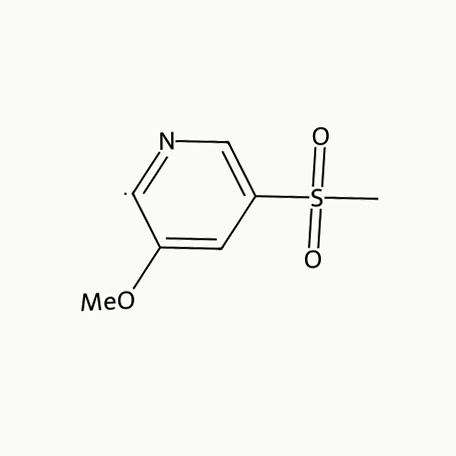 COc1[c]ncc(S(C)(=O)=O)c1